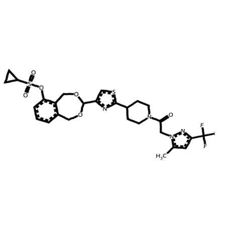 Cc1cc(C(F)(F)F)nn1CC(=O)N1CCC(c2nc(C3OCc4cccc(OS(=O)(=O)C5CC5)c4CO3)cs2)CC1